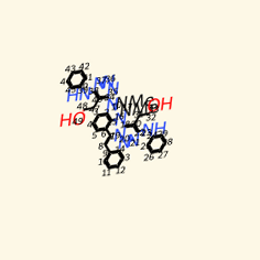 CNN(c1cccc(C=Cc2ccccc2)c1N(NC)c1nnnc(Nc2ccccc2)c1CCO)c1nnnc(Nc2ccccc2)c1CCO